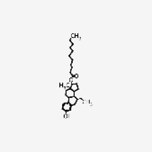 CCCCCCCCCCC(=O)O[C@H]1CCC2C3C(CC[C@@]21C)c1ccc(O)cc1C[C@@H]3CC